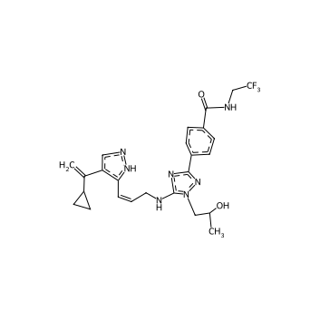 C=C(c1cn[nH]c1/C=C\CNc1nc(-c2ccc(C(=O)NCC(F)(F)F)cc2)nn1CC(C)O)C1CC1